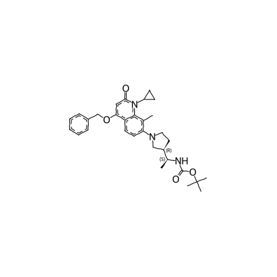 Cc1c(N2CC[C@@H]([C@H](C)NC(=O)OC(C)(C)C)C2)ccc2c(OCc3ccccc3)cc(=O)n(C3CC3)c12